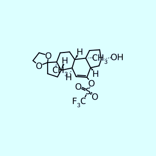 C[C@]12CC[C@H](O)C[C@@H]1C(OS(=O)(=O)C(F)(F)F)=C[C@@H]1[C@@H]2CC[C@@]2(C)[C@H]1CCC21OCCO1